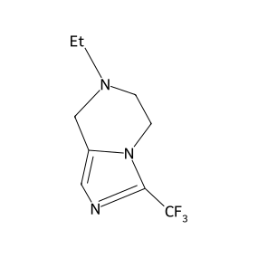 CCN1CCn2c(cnc2C(F)(F)F)C1